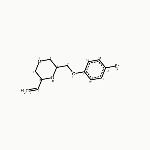 C=[C]C1COCC(COc2ccc(Br)cc2)O1